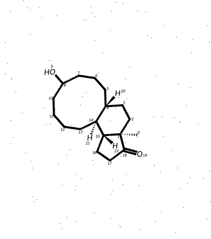 C[C@@]12CC[C@H]3CCCC(O)CCCC[C@@H]3[C@H]1CCC2=O